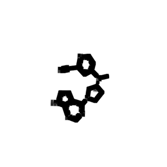 CN(c1ccnc(C#N)c1)[C@@H]1CCN(c2ncnc3[nH]ccc23)C1